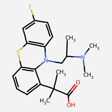 CC(CN1c2ccc(F)cc2Sc2cccc(C(C)(C)C(=O)O)c21)N(C)C